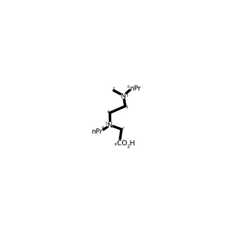 CCCN(C)CCN(CCC)CC(=O)O